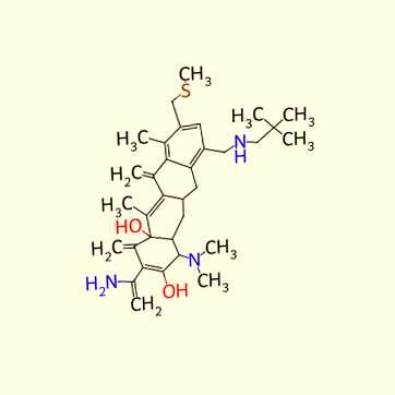 C=C(N)C1=C(O)C(N(C)C)C2CC3Cc4c(CNCC(C)(C)C)cc(CSC)c(C)c4C(=C)C3=C(C)C2(O)C1=C